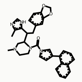 Cc1nc[nH]c1C(Cc1ccc2c(c1)OCO2)C1CN(C)CCN1C(=O)n1ccc(-c2cccc3ccccc23)c1